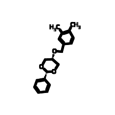 Cc1ccc(CO[C@H]2CO[C@@H](c3ccccc3)OC2)cc1C